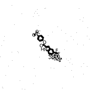 C[Si](C)(C)OP(=O)(O[Si](C)(C)C)C(F)(F)c1ccc2[nH]c(C(=O)Oc3ccc([N+](=O)[O-])cc3)cc2c1